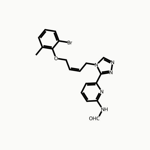 Cc1cccc(Br)c1OC/C=C\Cn1cnnc1-c1cccc(NC=O)n1